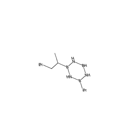 CC(C)CC(C)B1NBNB(C(C)C)N1